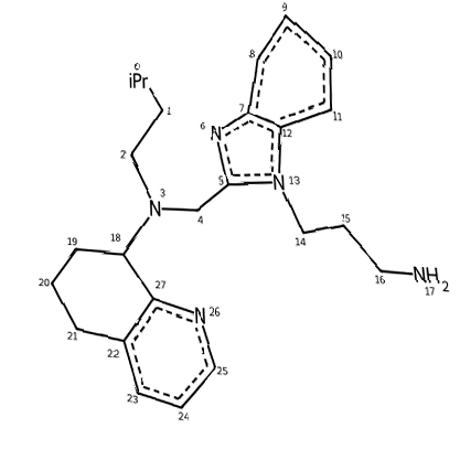 CC(C)CCN(Cc1nc2ccccc2n1CCCN)C1CCCc2cccnc21